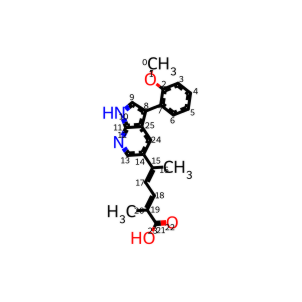 COc1ccccc1-c1c[nH]c2ncc(/C(C)=C/C=C(\C)C(=O)O)cc12